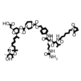 CO[C@H](C(C)OC(C)(C)C[C@H](C)/C=C/C=C(\C)[C@H]1O[C@@H](CC(=O)O)C[C@@H](OC(=O)N2CCCN(C(=O)OCc3ccc(NC(=O)[C@@H](CCCNC(N)=O)NC(=O)[C@H](NC(=O)CCCCCN4C(=O)C=CC4=O)C(C)C)cc3)CC2)[C@@H]1C)[C@@H](C)O